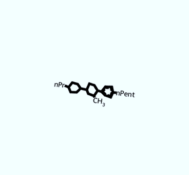 CCCCCc1ccc(C2CCC(C3CCC(CCC)CC3)CC2C)cc1